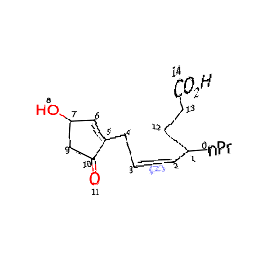 CCCC(/C=C\CC1=CC(O)CC1=O)CCC(=O)O